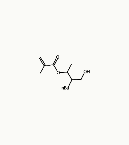 C=C(C)C(=O)OC(C)C(CO)CCCC